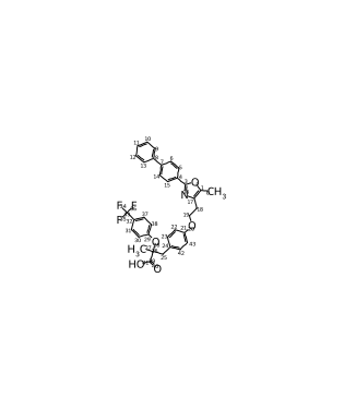 Cc1oc(-c2ccc(-c3ccccc3)cc2)nc1CCOc1ccc(CC(C)(Oc2ccc(C(F)(F)F)cc2)C(=O)O)cc1